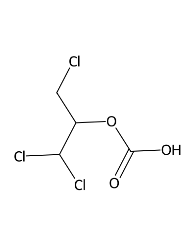 O=C(O)OC(CCl)C(Cl)Cl